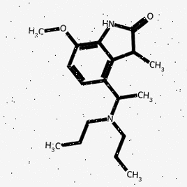 CCCN(CCC)C(C)c1ccc(OC)c2c1C(C)C(=O)N2